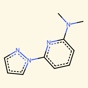 CN(C)c1cccc(-n2cccn2)n1